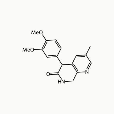 COc1ccc(C2C(=O)NCc3ncc(C)cc32)cc1OC